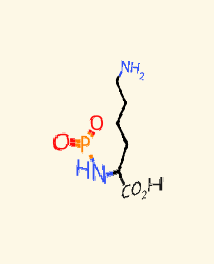 NCCCCC(NP(=O)=O)C(=O)O